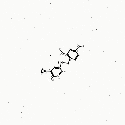 COc1ccc(CNc2cc(C3CC3)c(Cl)nn2)c(OC)c1